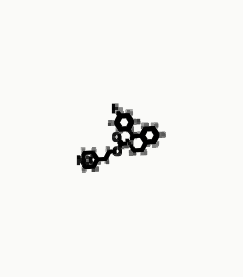 O=C(OCCC12CCN(CC1)CC2)N1CCc2ccccc2[C@@H]1c1ccc(F)cc1